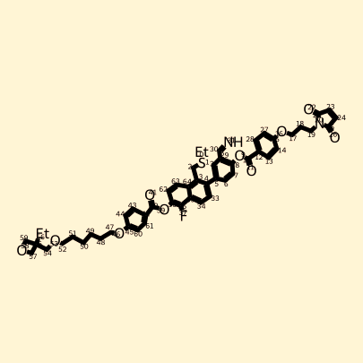 CCSCc1c(-c2ccc(OC(=O)c3ccc(OCCCN4C(=O)C=CC4=O)cc3)c(C=N)c2)ccc2c(F)c(OC(=O)c3ccc(OCCCCCCOCC4(CC)COC4)cc3)ccc12